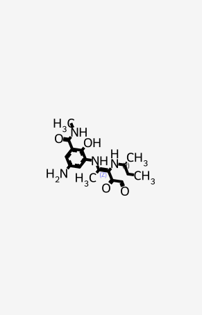 CC[C@@H](C)N/C(C(=O)C=O)=C(/C)Nc1cc(N)cc(C(=O)NC)c1O